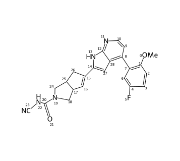 COc1ccc(F)cc1-c1ccnc2[nH]c(C3=CC4CN(C(=O)NC#N)CC4C3)cc12